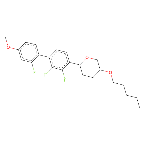 CCCCCOC1CCC(c2ccc(-c3ccc(OC)cc3F)c(F)c2F)OC1